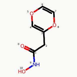 O=C(CC1=COC=CO1)NO